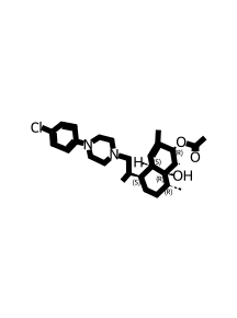 CC(=O)O[C@@H]1[CH][C@@]2(O)[C@H](C)CC[C@@H](C(C)CN3CCN(c4ccc(Cl)cc4)CC3)[C@H]2C=C1C